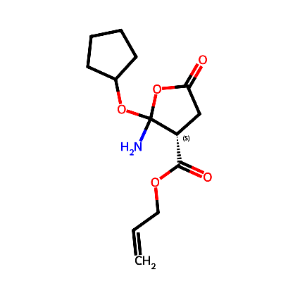 C=CCOC(=O)[C@H]1CC(=O)OC1(N)OC1CCCC1